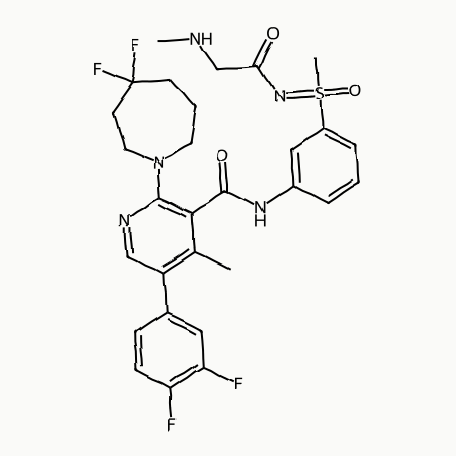 CNCC(=O)N=S(C)(=O)c1cccc(NC(=O)c2c(N3CCCC(F)(F)CC3)ncc(-c3ccc(F)c(F)c3)c2C)c1